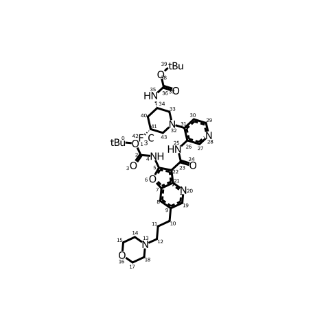 CC(C)(C)OC(=O)Nc1oc2cc(CCCN3CCOCC3)cnc2c1C(=O)Nc1cnccc1N1C[C@@H](NC(=O)OC(C)(C)C)C[C@@H](C(F)(F)F)C1